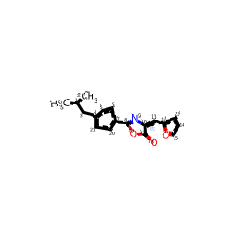 CC(C)Cc1ccc(C2=N/C(=C/c3ccco3)C(=O)O2)cc1